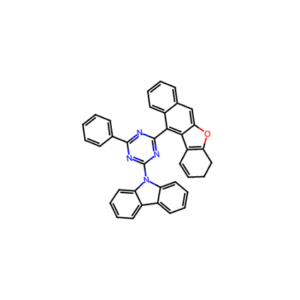 C1=Cc2c(oc3cc4ccccc4c(-c4nc(-c5ccccc5)nc(-n5c6ccccc6c6ccccc65)n4)c23)CC1